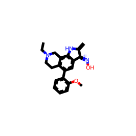 C=C1Nc2c(cc(-c3ccccc3OC)c3c2CN(CC)CC3)/C1=N\O